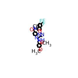 COc1ccc(CNc2nc3ccc(C(=O)N(C)[C@H]4COCc5cc(C(F)(F)F)ccc54)cc3n3cncc23)c(OC)c1